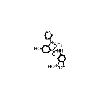 CN(c1cccnc1)c1cc(O)ccc1S(=O)(=O)Nc1ccc2c(c1)B(O)OC2